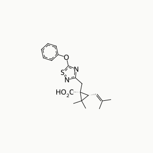 CC(C)=C[C@@H]1C(C)(C)[C@]1(Cc1nsc(Oc2ccccc2)n1)C(=O)O